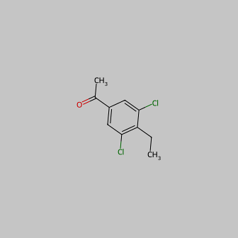 CCc1c(Cl)cc(C(C)=O)cc1Cl